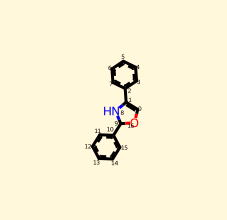 C1=C(c2ccccc2)NC(c2ccccc2)O1